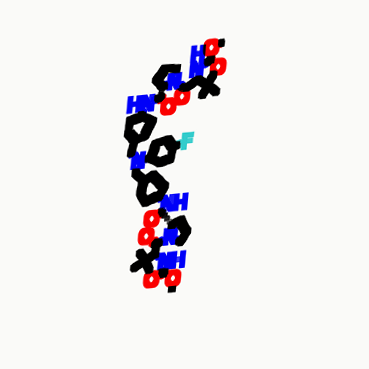 COC(=O)N[C@H](C(=O)N1CC=C[C@H]1C(=O)Nc1ccc(CN(Cc2ccc(NC(=O)[C@@H]3C=CCN3C(=O)[C@@H](NC(=O)OC)C(C)(C)C)cc2)c2ccc(F)cc2)cc1)C(C)(C)C